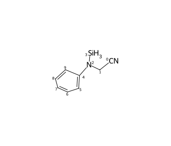 N#CCN([SiH3])c1ccccc1